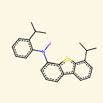 CC(C)c1ccccc1N(I)c1cccc2c1sc1c(C(C)C)cccc12